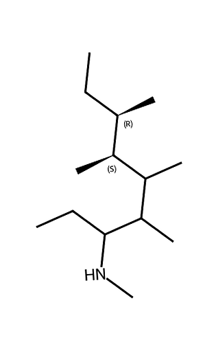 CCC(NC)C(C)C(C)[C@@H](C)[C@H](C)CC